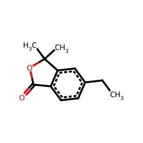 CCc1ccc2c(c1)C(C)(C)OC2=O